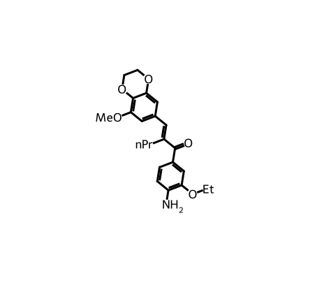 CCC/C(=C\c1cc(OC)c2c(c1)OCCO2)C(=O)c1ccc(N)c(OCC)c1